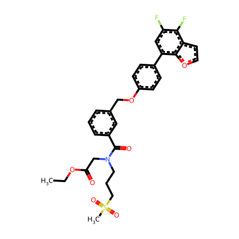 CCOC(=O)CN(CCCS(C)(=O)=O)C(=O)c1cccc(COc2ccc(-c3cc(F)c(F)c4ccoc34)cc2)c1